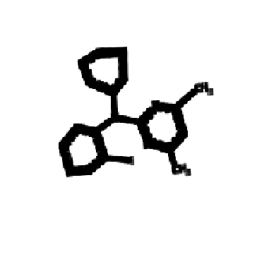 Cc1cc(C)nc(N(c2ccccc2)c2ccccc2I)n1